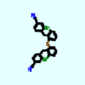 N#Cc1ccc(Cc2c(Br)cccc2Sc2cccc(Br)c2Cc2ccc(C#N)cc2)cc1